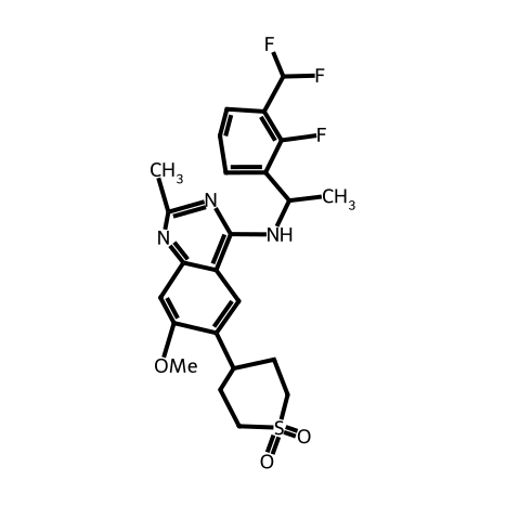 COc1cc2nc(C)nc(NC(C)c3cccc(C(F)F)c3F)c2cc1C1CCS(=O)(=O)CC1